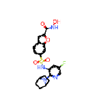 O=C(NO)c1cc2ccc(S(=O)(=O)Nc3cc(F)cnc3N3C4CCC3CC4)cc2o1